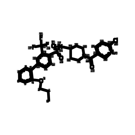 CCCOc1ccccc1-c1ccc(S(=O)(=O)NC2CCN(C(=O)c3ccc(Cl)nc3)CC2)c(C(F)(F)F)c1